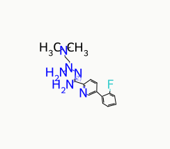 CN(C)CCN(N)/N=C(\N)c1ccc(-c2ccccc2F)cn1